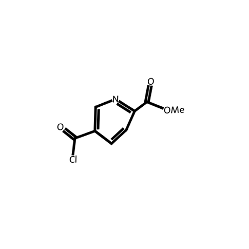 COC(=O)c1ccc(C(=O)Cl)cn1